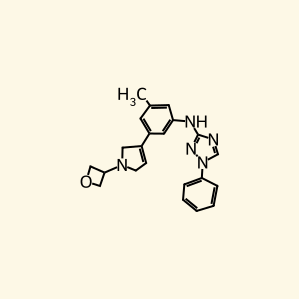 Cc1cc(Nc2ncn(-c3ccccc3)n2)cc(C2=CCN(C3COC3)C2)c1